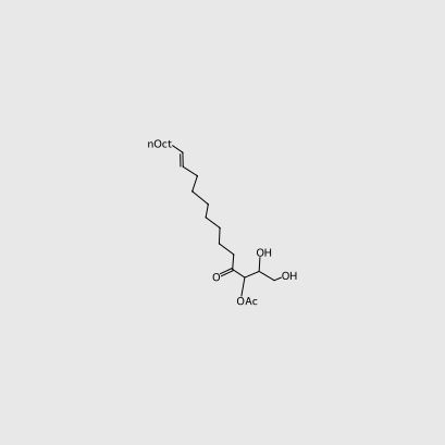 CCCCCCCCC=CCCCCCCCC(=O)C(OC(C)=O)C(O)CO